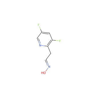 ON=CCc1ncc(F)cc1F